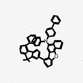 CC1(C)c2cc(-c3cccc4oc5c6ccccc6c(N(c6ccccc6)c6ccc(-c7ccccc7)cc6)cc5c34)ccc2-c2c(-c3ccccc3)cccc21